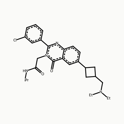 CCN(CC)CC1CC(c2ccc3nc(-c4cccc(Cl)c4)n(CC(=O)NC(C)C)c(=O)c3c2)C1